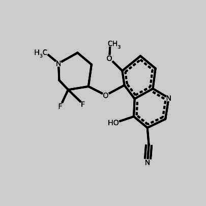 COc1ccc2ncc(C#N)c(O)c2c1OC1CCN(C)CC1(F)F